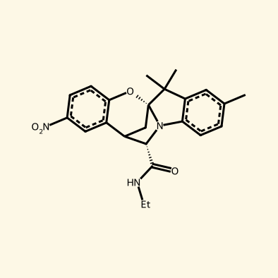 CCNC(=O)[C@@H]1C2C[C@]3(Oc4ccc([N+](=O)[O-])cc42)N1c1ccc(C)cc1C3(C)C